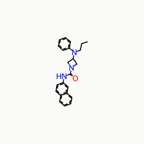 CCCN(c1ccccc1)C1CN(C(=O)Nc2ccc3ccccc3c2)C1